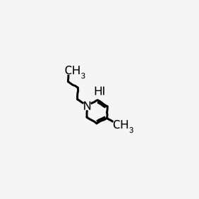 CCCCN1C=CC(C)=CC1.I